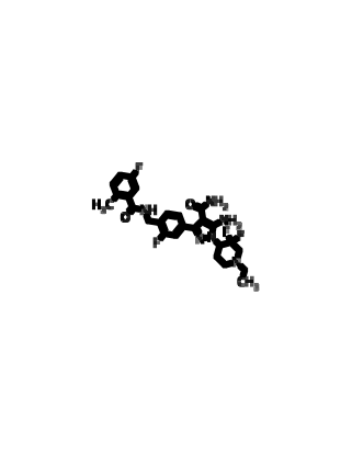 CCN1CCC(n2nc(-c3ccc(CNC(=O)c4cc(F)ccc4C)c(F)c3)c(C(N)=O)c2N)C(F)(F)C1